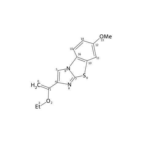 C=C(OCC)c1cn2c(n1)sc1cc(OC)ccc12